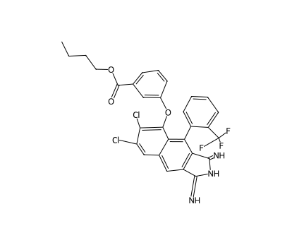 CCCCOC(=O)c1cccc(Oc2c(Cl)c(Cl)cc3cc4c(c(-c5ccccc5C(F)(F)F)c23)C(=N)NC4=N)c1